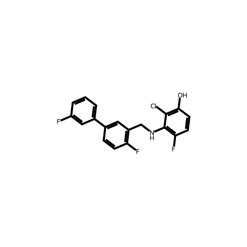 Oc1ccc(F)c(NCc2cc(-c3cccc(F)c3)ccc2F)c1Cl